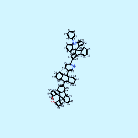 c1ccc(N2c3ccccc3C3(c4ccccc4-c4cc(-c5ccc(-c6c7ccccc7c(-c7ccc8c(c7)-c7ccccc7C87c8ccccc8Oc8ccccc87)c7ccccc67)cn5)ccc43)c3ccccc32)cc1